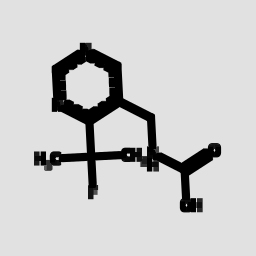 CC(C)(F)c1ncncc1CNC(=O)O